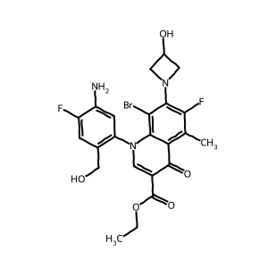 CCOC(=O)c1cn(-c2cc(N)c(F)cc2CO)c2c(Br)c(N3CC(O)C3)c(F)c(C)c2c1=O